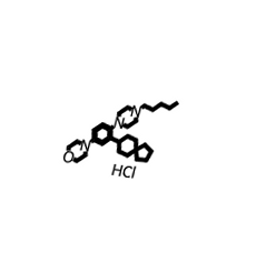 CCCCCN1CCN(c2ccc(N3CCOCC3)cc2C2CCC3(CCCC3)CC2)CC1.Cl